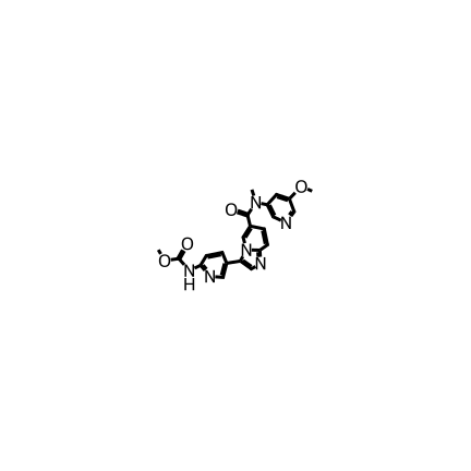 COC(=O)Nc1ccc(-c2cnc3ccc(C(=O)N(C)c4cncc(OC)c4)cn23)cn1